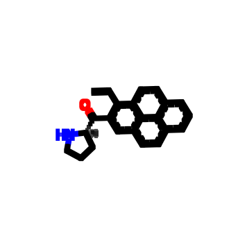 C=Cc1c(C(=O)[C@@H]2CCCN2)cc2ccc3cccc4ccc1c2c34